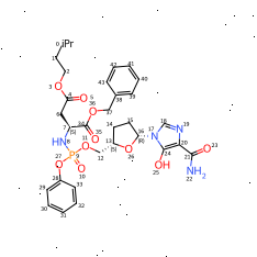 CC(C)CCOC(=O)C[C@H](NP(=O)(OC[C@@H]1CC[C@H](n2cnc(C(N)=O)c2O)O1)Oc1ccccc1)C(=O)OCc1ccccc1